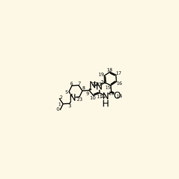 CC(C)CN1CCCC(c2cc3[nH]c(=O)c4ccccc4n3n2)C1